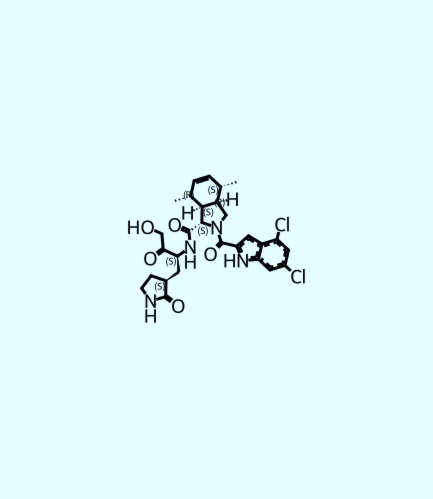 C[C@@H]1C=C[C@H](C)[C@H]2CN(C(=O)c3cc4c(Cl)cc(Cl)cc4[nH]3)[C@H](C(=O)N[C@@H](C[C@@H]3CCNC3=O)C(=O)CO)[C@H]21